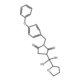 O=C1CC(C(S)(S)C2CCCO2)C(=O)N1Cc1ccc(Oc2ccccc2)cc1